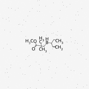 C=CC(BCC(C)(C)C(=O)OC)CC